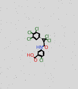 O=C(O)c1cc(NC(=O)C2[C@H](c3cc(Cl)c(Cl)c(Cl)c3)C2(Cl)Cl)ccc1Cl